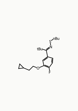 CCCCS/N=C(/c1ccc(F)c(OCCC2CC2)c1)C(C)(C)C